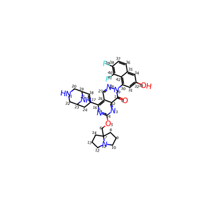 O=c1c2nc(OCC34CCCN3CCC4)nc(C3=CC4CNCC(C3)N4)c2cnn1-c1cc(O)cc2ccc(F)c(F)c12